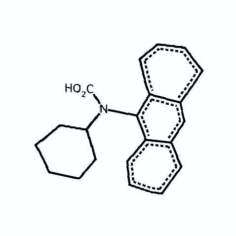 O=C(O)N(c1c2ccccc2cc2ccccc12)C1CCCCC1